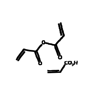 C=CC(=O)O.C=CC(=O)OC(=O)C=C